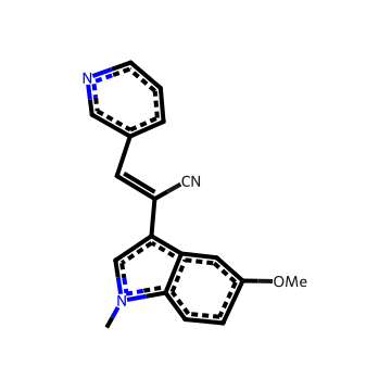 COc1ccc2c(c1)c(/C(C#N)=C/c1cccnc1)cn2C